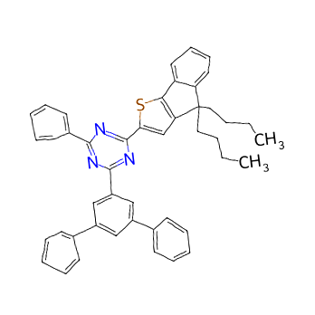 CCCCC1(CCCC)c2ccccc2-c2sc(-c3nc(-c4ccccc4)nc(-c4cc(-c5ccccc5)cc(-c5ccccc5)c4)n3)cc21